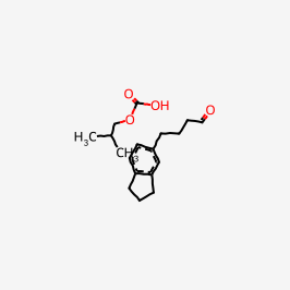 CC(C)COC(=O)O.O=CCCCc1ccc2c(c1)CCC2